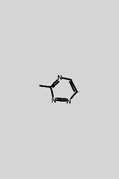 Cc1nc[c]nn1